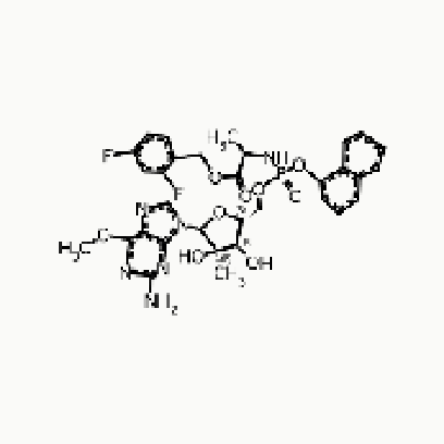 COc1nc(N)nc2c1ncn2C1O[C@H](COP(=O)(NC(C)C(=O)OCc2ccc(F)cc2F)Oc2cccc3ccccc23)[C@@H](O)[C@@]1(C)O